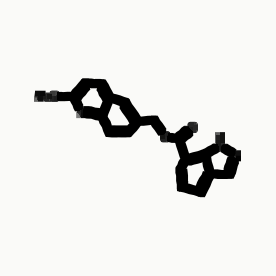 COc1ccc2cc(COC(=O)c3cccc4cn[nH]c34)ccc2n1